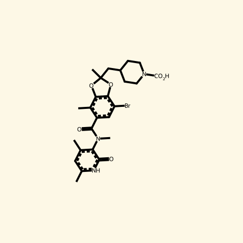 Cc1cc(C)c(N(C)C(=O)c2cc(Br)c3c(c2C)OC(C)(CC2CCN(C(=O)O)CC2)O3)c(=O)[nH]1